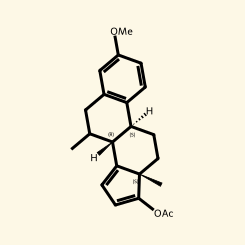 COc1ccc2c(c1)CC(C)[C@H]1C3=CC=C(OC(C)=O)[C@@]3(C)CC[C@H]21